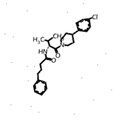 CC(C)[C@@H](NC(=O)CCCc1ccccc1)C(=O)N1CCC(c2ccc(Cl)cc2)CC1